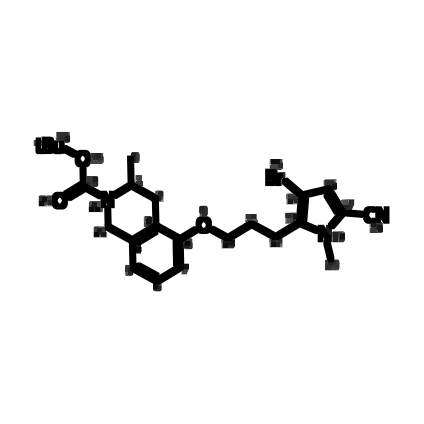 CC1Cc2c(cccc2OCCCc2c(Br)cc(C#N)n2C)CN1C(=O)OC(C)(C)C